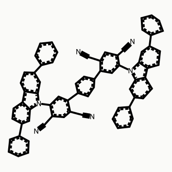 N#Cc1cc(C#N)c(-n2c3cc(-c4ccccc4)ccc3c3ccc(-c4ccccc4)cc32)cc1-c1ccc(-c2cc(-n3c4cc(-c5ccccc5)ccc4c4ccc(-c5ccccc5)cc43)c(C#N)cc2C#N)cc1